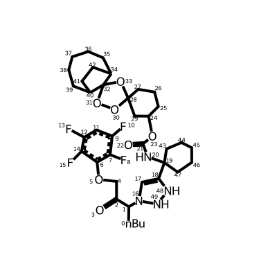 CCCCC(C(=O)COc1c(F)c(F)cc(F)c1F)N1C=C(C2(NC(=O)OC3CCCC4(C3)OOC3(O4)C4CCCCCC3CC4)CCCCC2)NN1